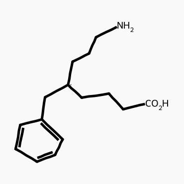 NCCC[C](CCCC(=O)O)Cc1ccccc1